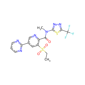 CCS(=O)(=O)c1cc(-c2ncccn2)cnc1C(=O)N(C)c1nnc(C(F)(F)F)s1